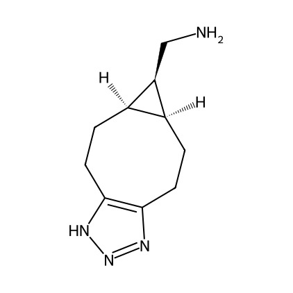 NC[C@H]1[C@H]2CCc3nn[nH]c3CC[C@@H]12